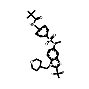 CN(c1ccc2c(c1)nc(C(C)(F)F)n2CC1CCOCC1)S(=O)(=O)c1ccc(NC(=O)C(C)(C)C)cc1